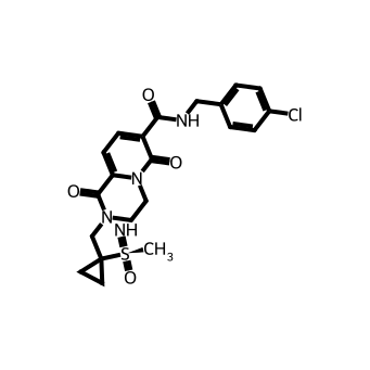 C[S@@](=N)(=O)C1(CN2CCn3c(ccc(C(=O)NCc4ccc(Cl)cc4)c3=O)C2=O)CC1